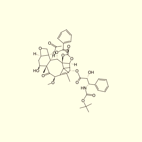 CO[C@H]1C(=O)[C@@]2(C)[C@H]([C@H](OC(=O)c3ccccc3)[C@]34OC(=O)O[C@H]3[C@H](OC(=O)[C@H](O)[C@@H](NC(=O)OC(C)(C)C)c3ccccc3)C(C)=C1C4(C)C)[C@]1(OC(C)=O)CO[C@@H]1C[C@@H]2O